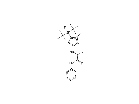 CC(Nc1cc([Si](F)(C(C)(C)C)C(C)(C)C)n(C)n1)C(=O)Nc1cccnc1